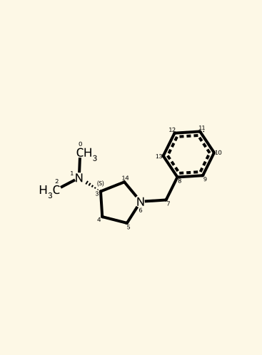 CN(C)[C@H]1CCN(Cc2cc[c]cc2)C1